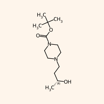 C[C@@H](O)CCN1CCN(C(=O)OC(C)(C)C)CC1